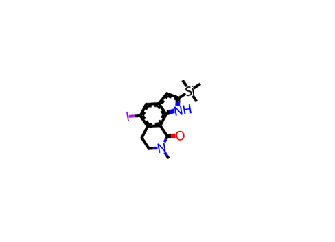 CN1CCc2c(I)cc3cc([Si](C)(C)C)[nH]c3c2C1=O